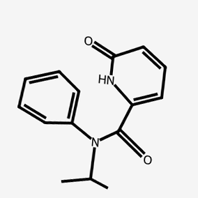 CC(C)N(C(=O)c1cccc(=O)[nH]1)c1ccccc1